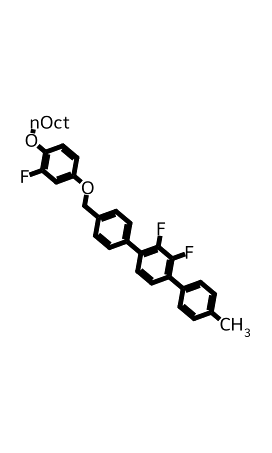 CCCCCCCCOc1ccc(OCc2ccc(-c3ccc(-c4ccc(C)cc4)c(F)c3F)cc2)cc1F